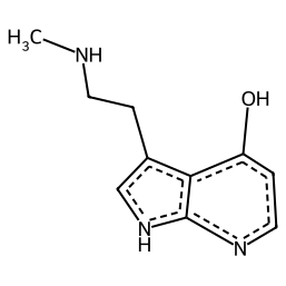 CNCCc1c[nH]c2nccc(O)c12